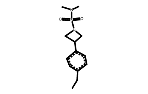 CCc1ccc(C2CN(S(=O)(=O)N(C)C)C2)cc1